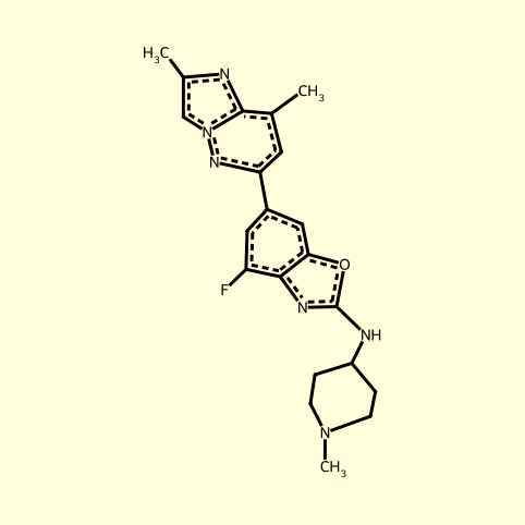 Cc1cn2nc(-c3cc(F)c4nc(NC5CCN(C)CC5)oc4c3)cc(C)c2n1